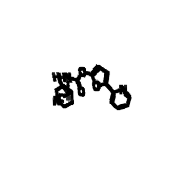 O=C(N[C@H]1CN2CCC1CC2)Oc1ccc(-c2ccccn2)o1